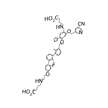 Cc1c(COc2cc(OCc3cncc(C#N)c3)c(CNCCCC(=O)O)cc2Cl)cccc1-c1cccc(-c2ccc(OCCNCCCC(=O)O)cc2F)c1C